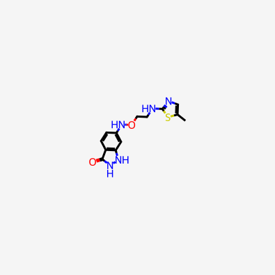 Cc1cnc(NCCONc2ccc3c(=O)[nH][nH]c3c2)s1